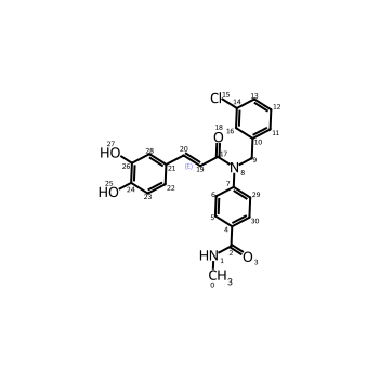 CNC(=O)c1ccc(N(Cc2cccc(Cl)c2)C(=O)/C=C/c2ccc(O)c(O)c2)cc1